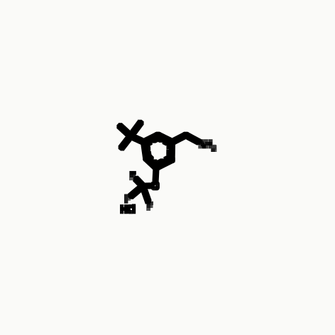 CC(C)(C)c1cc(CN)cc(OC(F)(F)F)c1.Cl